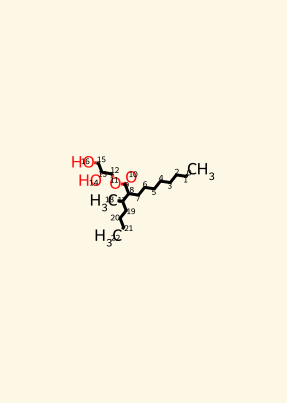 CCCCCCCCC(C(=O)OCC(O)CO)C(C)CCCC